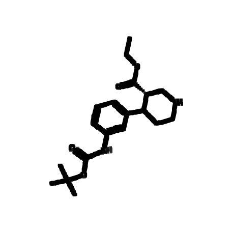 CCOC(=O)[C@@H]1CNCCC1c1cccc(NC(=O)OC(C)(C)C)c1